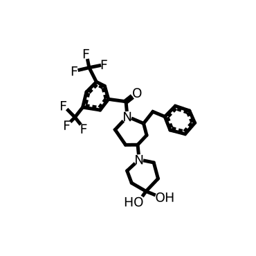 O=C(c1cc(C(F)(F)F)cc(C(F)(F)F)c1)N1CCC(N2CCC(O)(O)CC2)CC1Cc1ccccc1